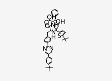 CC(C)(C)c1ccc(-c2cnc(-c3ccc(C[C@H](NC(=O)c4ccc(C(C)(C)C)s4)C(=O)NC(C(=O)O)C(O)c4ccccc4)cc3)nc2)cc1